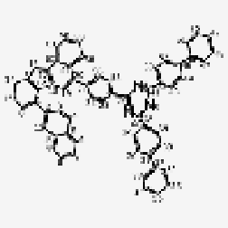 C1=C(c2ccc3ccccc3c2)C2=C(CC1)Cc1c2cc(-c2ccc(-c3nc(-c4ccc(-c5ccccc5)cc4)nc(-c4ccc(-c5ccccc5)cc4)n3)cc2)c2ccccc12